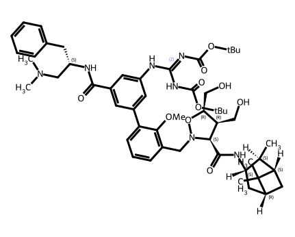 COc1c(CN2O[C@@H](CO)[C@@H](CO)[C@H]2C(=O)N[C@H]2C[C@H]3C[C@@H]([C@@H]2C)C3(C)C)cccc1-c1cc(N/C(=N/C(=O)OC(C)(C)C)NC(=O)OC(C)(C)C)cc(C(=O)N[C@@H](Cc2ccccc2)CN(C)C)c1